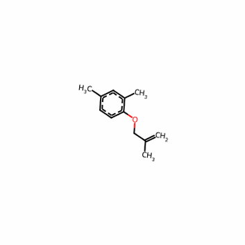 C=C(C)COc1ccc(C)cc1C